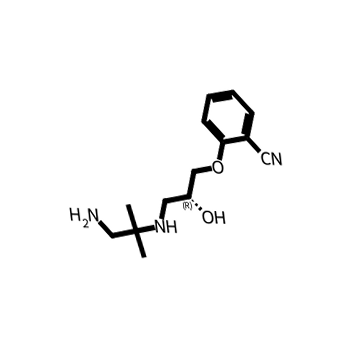 CC(C)(CN)NC[C@@H](O)COc1ccccc1C#N